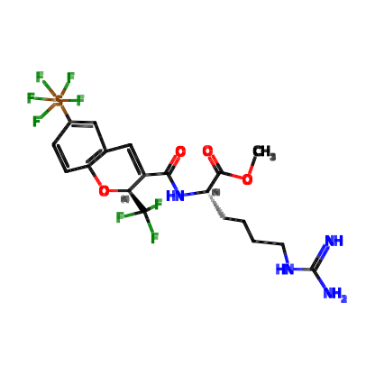 COC(=O)[C@H](CCCCNC(=N)N)NC(=O)C1=Cc2cc(S(F)(F)(F)(F)F)ccc2O[C@@H]1C(F)(F)F